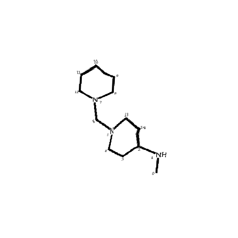 CNC1CCN(CN2CCCCC2)CC1